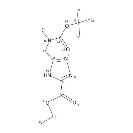 CCOC(=O)c1nnc(CN(C)C(=O)OC(C)(C)C)[nH]1